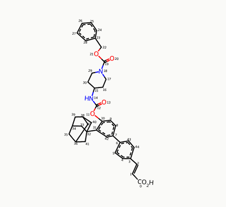 O=C(O)C=Cc1ccc(-c2ccc(OC(=O)NC3CCN(C(=O)OCc4ccccc4)CC3)c(C34CC5CC(CC(C5)C3)C4)c2)cc1